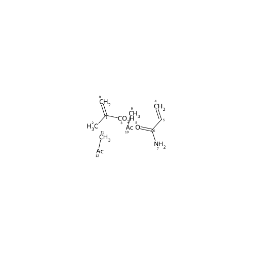 C=C(C)C(=O)O.C=CC(N)=O.CC(C)=O.CC(C)=O